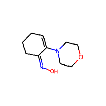 O/N=C1/CCCC=C1N1CCOCC1